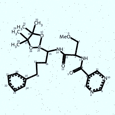 COCC(NC(=O)c1cncnc1)C(=O)NC(CCCc1ccccc1)B1OC(C)(C)C(C)(C)O1